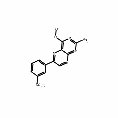 CCOC(=O)c1cccc(-c2cnc3nc(N)nc(OCC)c3n2)c1